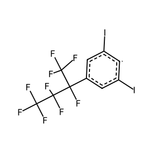 FC(F)(F)C(F)(F)C(F)(c1cc(I)[c]c(I)c1)C(F)(F)F